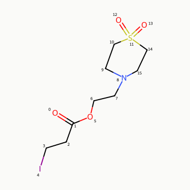 O=C(CCI)OCCN1CCS(=O)(=O)CC1